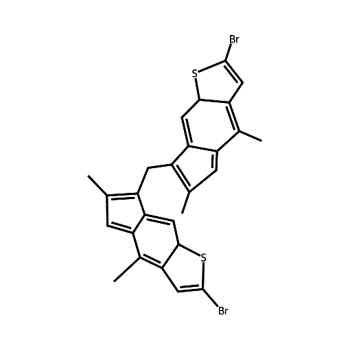 CC1=C(CC2=C(C)C=C3C2=CC2SC(Br)=CC2=C3C)C2=CC3SC(Br)=CC3=C(C)C2=C1